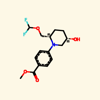 COC(=O)c1ccc(N2C[C@@H](O)CC[C@H]2COC(F)F)cc1